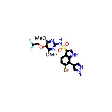 COc1nc(NS(=O)(=O)c2c[nH]c3c(-c4cnn(C)c4)c(Br)ccc23)nc(OC)c1OCC(F)F